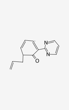 C=CCC1C=C[C]=C(c2ncccn2)C1=O